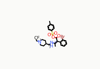 C/C(N[C@H](C)C1CCN(CC(F)(F)F)CC1)=C(/C(=O)OS(=O)(=O)c1ccc(C)cc1)c1ccccc1Br